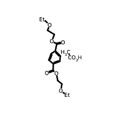 CC(=O)O.CCOCCOC(=O)c1ccc(C(=O)OCCOCC)cc1